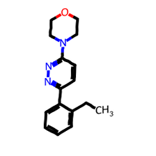 CCc1ccccc1-c1ccc(N2CCOCC2)nn1